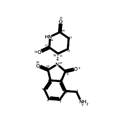 NCc1cccc2c1C(=O)N([C@H]1CCC(=O)NC1=O)C2=O